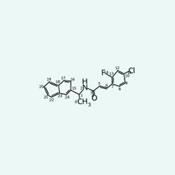 CC(NC(=O)C=Cc1ccc(Cl)cc1F)c1ccc2ccccc2c1